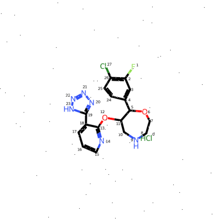 Cl.Fc1cc(C2OCCNCC2Oc2ncccc2-c2nnn[nH]2)ccc1Cl